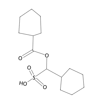 O=C(OC(C1CCCCC1)S(=O)(=O)O)C1CCCCC1